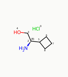 Cl.N[C@@H](CO)C1CCC1